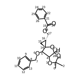 CC1(C)OC2C(OCc3ccccc3)[C@@]3(C[C@@H]3COC(=O)c3ccccc3)O[C@@H]2O1